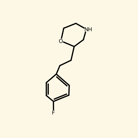 Fc1ccc(CCC2CNCCO2)cc1